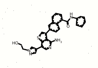 Nc1ncc(-c2cnn(CCO)c2)c2scc(-c3ccc4c(C(=O)Nc5ccccc5)cccc4c3)c12